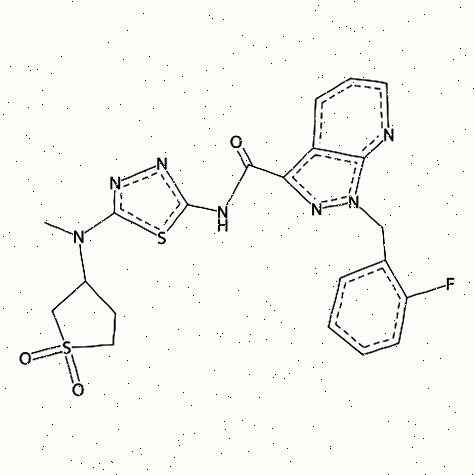 CN(c1nnc(NC(=O)c2nn(Cc3ccccc3F)c3ncccc23)s1)C1CCS(=O)(=O)C1